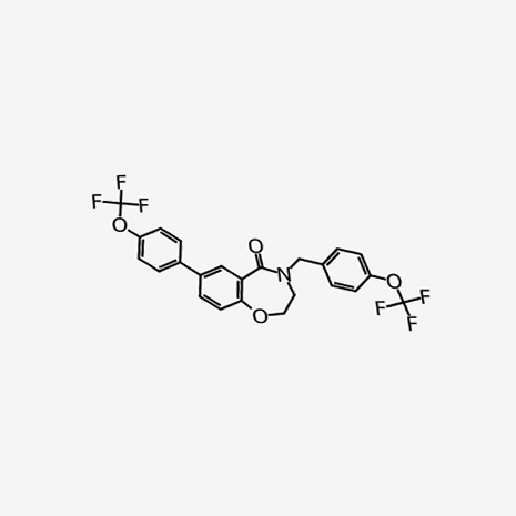 O=C1c2cc(-c3ccc(OC(F)(F)F)cc3)ccc2OCCN1Cc1ccc(OC(F)(F)F)cc1